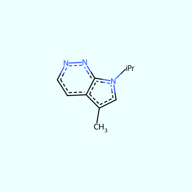 Cc1cn(C(C)C)c2nnccc12